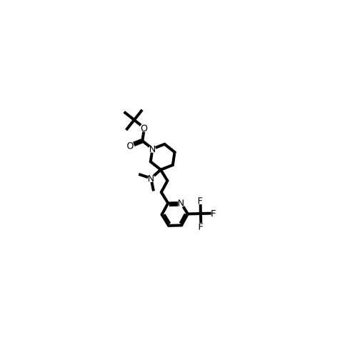 CN(C)C1(CCc2cccc(C(F)(F)F)n2)CCCN(C(=O)OC(C)(C)C)C1